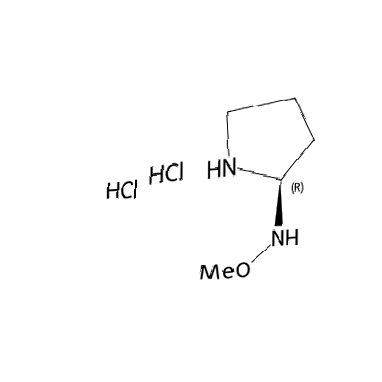 CON[C@@H]1CCCN1.Cl.Cl